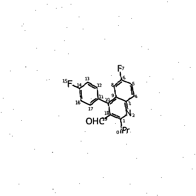 CC(C)c1nc2ccc(F)cc2c(-c2ccc(F)cc2)c1C=O